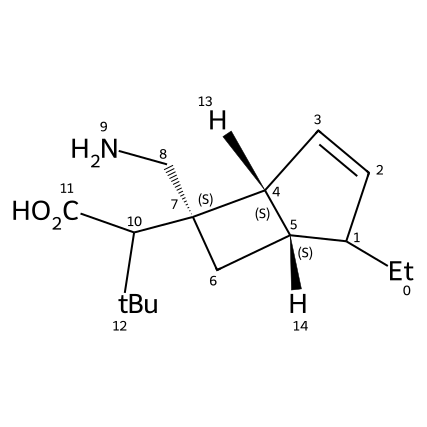 CCC1C=C[C@@H]2[C@H]1C[C@@]2(CN)C(C(=O)O)C(C)(C)C